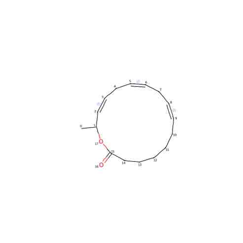 CC1/C=C\C/C=C\C/C=C\CCCCCC(=O)O1